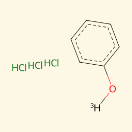 Cl.Cl.Cl.[3H]Oc1ccccc1